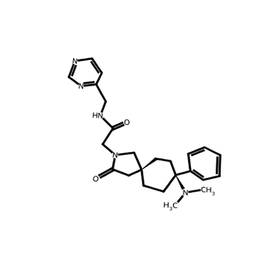 CN(C)[C@]1(c2ccccc2)CC[C@@]2(CC1)CC(=O)N(CC(=O)NCc1ccncn1)C2